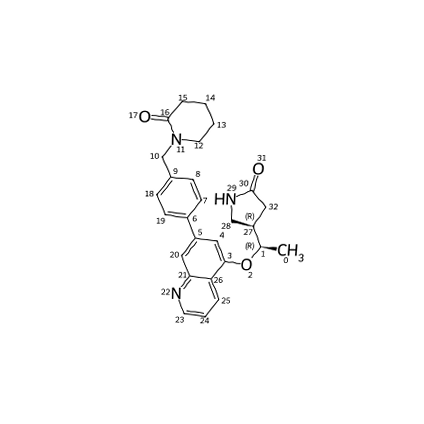 C[C@@H](Oc1cc(-c2ccc(CN3CCCCC3=O)cc2)cc2ncccc12)[C@H]1CNC(=O)C1